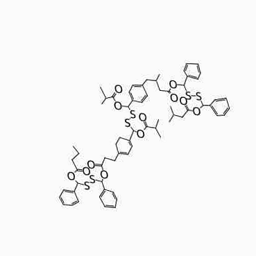 CCCC(=O)OC(SSC(OC(=O)CCC1=CC=C(C(OC(=O)C(C)C)SSC(OC(=O)C(C)C)c2ccc(CC(C)CC(=O)OC(SSC(OC(=O)CC(C)C)c3ccccc3)c3ccccc3)cc2)CC1)c1ccccc1)c1ccccc1